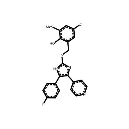 CSc1cc(Cl)cc(CSc2nc(-c3ccncc3)c(-c3ccc(F)cc3)[nH]2)c1O